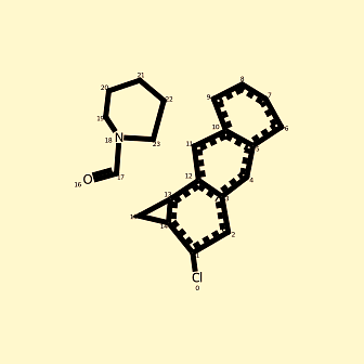 Clc1cc2cc3ccccc3cc2c2c1C2.O=CN1CCCCC1